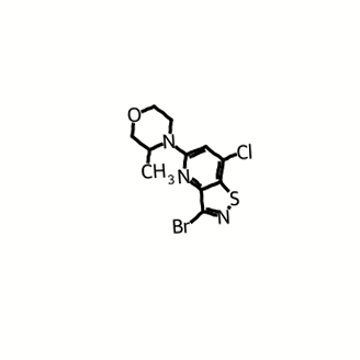 CC1COCCN1c1cc(Cl)c2snc(Br)c2n1